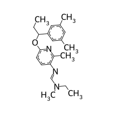 CCC(Oc1ccc(/N=C/N(C)CC)c(C)n1)c1cc(C)cc(C)c1